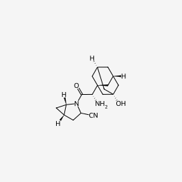 N#CC1C[C@@H]2C[C@@H]2N1C(=O)[C@@H](N)[C@@]12C[C@@H]3C[C@@H](C[C@@](O)(C3)C1)C2